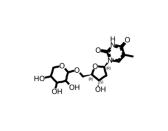 Cc1cn([C@H]2C[C@H](O)[C@@H](COC3OCC(O)C(O)C3O)O2)c(=O)[nH]c1=O